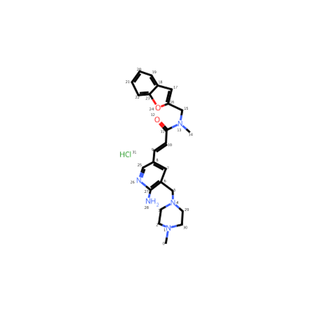 CN1CCN(Cc2cc(C=CC(=O)N(C)Cc3cc4ccccc4o3)cnc2N)CC1.Cl